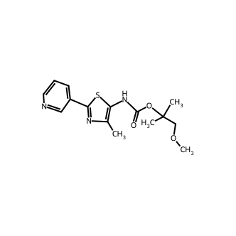 COCC(C)(C)OC(=O)Nc1sc(-c2cccnc2)nc1C